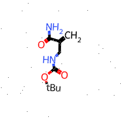 C=C(CNC(=O)OC(C)(C)C)C(N)=O